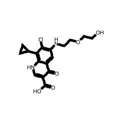 O=C(O)c1c[nH]c2c(C3CC3)c(Cl)c(NCCOCCO)cc2c1=O